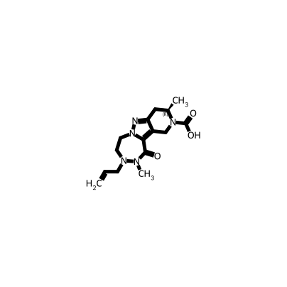 C=CCN1CCn2nc3c(c2C(=O)N1C)CN(C(=O)O)[C@H](C)C3